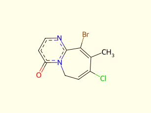 CC1=C(Br)c2nccc(=O)n2CC=C1Cl